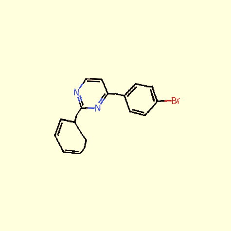 Brc1ccc(-c2ccnc(C3C=CC=CC3)n2)cc1